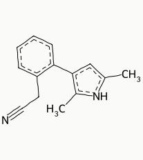 Cc1cc(-c2ccccc2CC#N)c(C)[nH]1